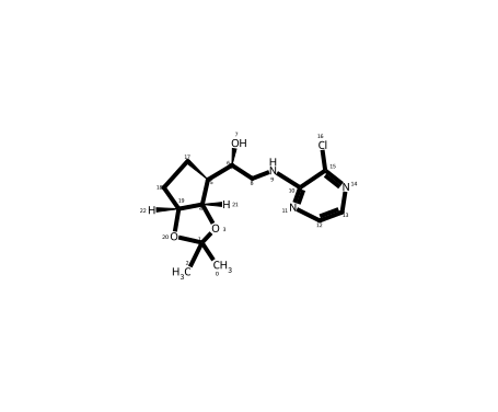 CC1(C)O[C@H]2[C@H]([C@@H](O)CNc3nccnc3Cl)CC[C@H]2O1